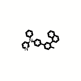 Cc1ccc(-c2ccc(N(c3ccccc3)c3cccnc3)cc2)cc1-c1cccc2ccccc12